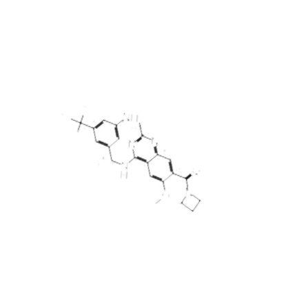 COc1cc2c(N[C@H](C)c3cc(N)cc(C(F)(F)F)c3)nc(C)nc2cc1C(=O)N1CCC1